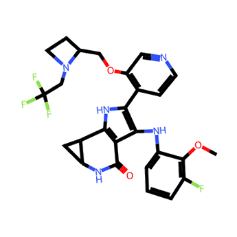 COc1c(F)cccc1Nc1c(-c2ccncc2OCC2CCN2CC(F)(F)F)[nH]c2c1C(=O)NC1CC21